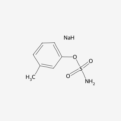 Cc1cccc(OS(N)(=O)=O)c1.[NaH]